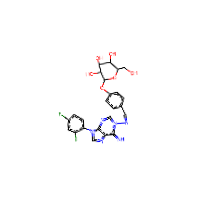 N=c1c2ncn(-c3ccc(F)cc3F)c2ncn1/N=C\c1ccc(OC2OC(CO)C(O)C(O)C2O)cc1